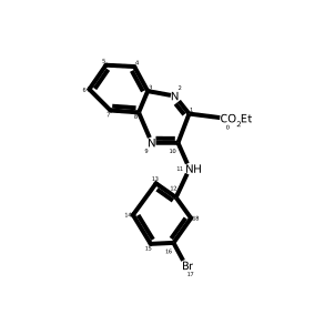 CCOC(=O)c1nc2ccccc2nc1Nc1cccc(Br)c1